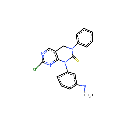 O=C(O)Nc1cccc(N2C(=S)N(c3ccccc3)Cc3cnc(Cl)nc32)c1